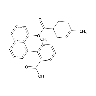 CC1=CCC(C(=O)Oc2cccc3cccc(-c4c(C)cccc4C(=O)O)c23)CC1